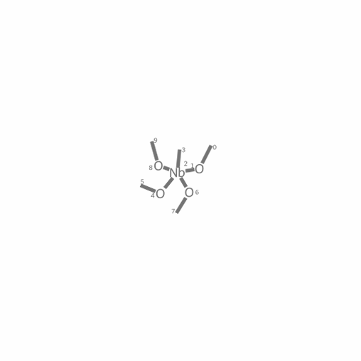 C[O][Nb]([CH3])([O]C)([O]C)[O]C